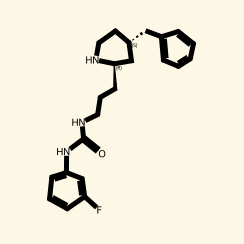 O=C(NCCC[C@@H]1C[C@@H](Cc2ccccc2)CCN1)Nc1cccc(F)c1